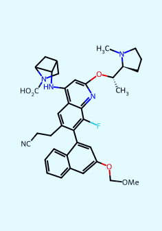 COCOc1cc(-c2c(CCC#N)cc3c(NC4C5CC4N(C(=O)O)C5)cc(O[C@@H](C)[C@@H]4CCCN4C)nc3c2F)c2ccccc2c1